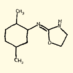 CC1CCC(C)C(/N=C2/NCCO2)C1